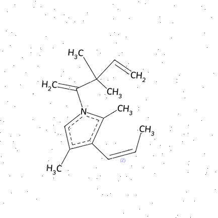 C=CC(C)(C)C(=C)n1cc(C)c(/C=C\C)c1C